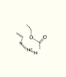 C=CN=[N+]=[N-].CCOC(C)=O